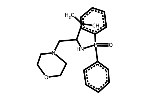 CC(C)C(CN1CCOCC1)NP(=O)(c1ccccc1)c1ccccc1